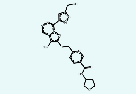 CC(C)(C)c1c(OCc2ccc(C(=O)NC3CCOC3)cn2)nn2c(-c3cc(CO)on3)nncc12